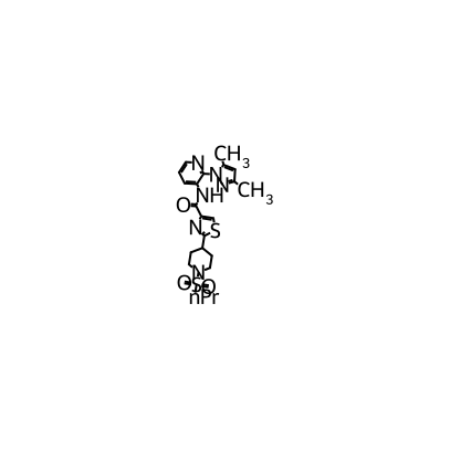 CCCS(=O)(=O)N1CCC(c2nc(C(=O)Nc3cccnc3-n3nc(C)cc3C)cs2)CC1